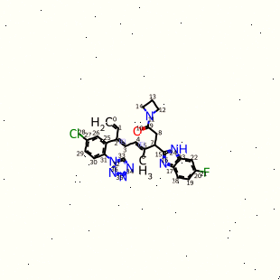 C=C/C(=C\C=C(/C)C(CC(=O)N1CCC1)c1nc2ccc(F)cc2[nH]1)c1cc(Cl)ccc1-n1cnnn1